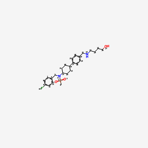 CS(=O)(=O)N(Cc1ccc(F)cc1)C1CCC(c2ccc(CNCCCCO)cc2)CC1